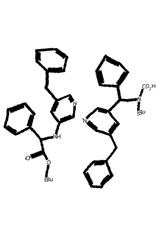 CC(C)(C)N(C(=O)O)C(c1ccccc1)c1cncc(Cc2ccccc2)c1.CC(C)(C)OC(=O)C(Nc1cncc(Cc2ccccc2)c1)c1ccccc1